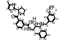 Cc1csc(C2CCCN2C(=O)c2cccc(C(=O)N[C@@H](Cc3ccccc3)[C@H](O)CNCc3cccc(OC(F)(F)F)c3)c2)n1